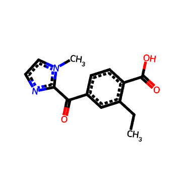 CCc1cc(C(=O)c2nccn2C)ccc1C(=O)O